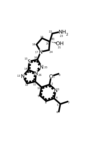 COc1nc(C(C)C)ccc1-c1cnc2sc(N3CC[C@@](O)(CN)C3)nn12